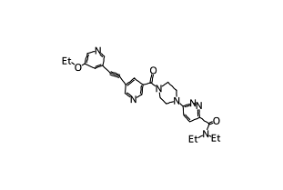 CCOc1cncc(C#Cc2cncc(C(=O)N3CCN(c4ccc(C(=O)N(CC)CC)nn4)CC3)c2)c1